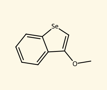 COc1c[se]c2ccccc12